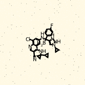 BC(Nc1cc(Cl)c2ncc(C#N)c(NC3(C4CC4)CC3)c2c1)(C1=CN(C2CC2)NN1)c1ccc(F)cc1